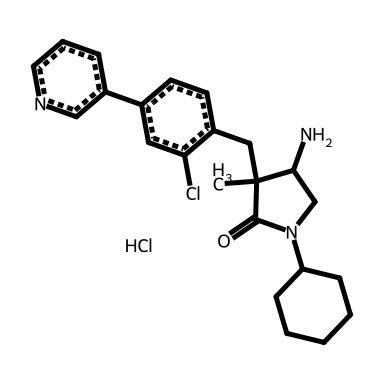 CC1(Cc2ccc(-c3cccnc3)cc2Cl)C(=O)N(C2CCCCC2)CC1N.Cl